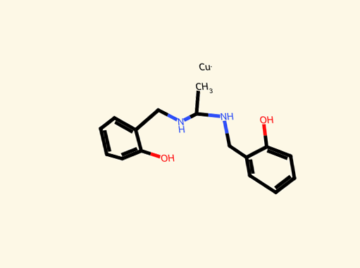 CC(NCc1ccccc1O)NCc1ccccc1O.[Cu]